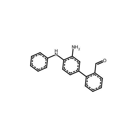 Nc1cc(-c2ccccc2C=O)ccc1Nc1ccccc1